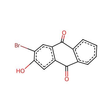 O=C1c2ccccc2C(=O)c2cc(Br)c(O)cc21